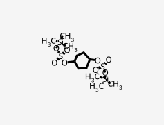 C[Si](C)(C)OS(=O)(=O)OC1CCC(OS(=O)(=O)O[Si](C)(C)C)CC1